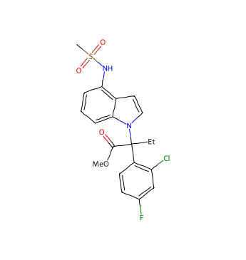 CCC(C(=O)OC)(c1ccc(F)cc1Cl)n1ccc2c(NS(C)(=O)=O)cccc21